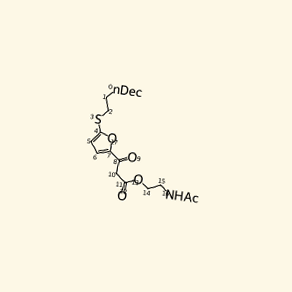 CCCCCCCCCCCCSc1ccc(C(=O)CC(=O)OCCNC(C)=O)o1